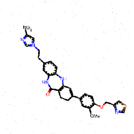 COc1cc(C2=CC3=C(CC2)C(=O)Nc2cc(CCn4cnc([N+](=O)[O-])c4)ccc2N3)ccc1OCc1cscn1